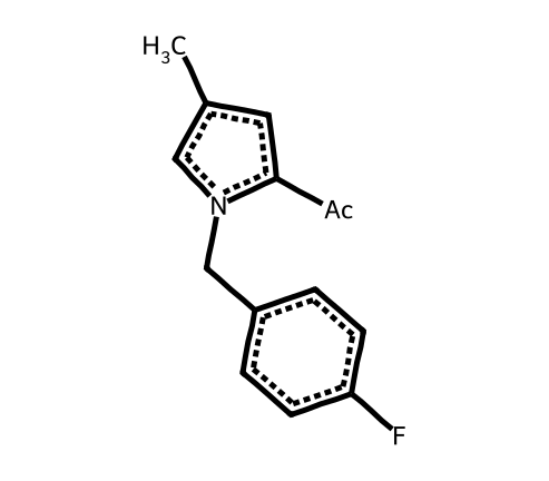 CC(=O)c1cc(C)cn1Cc1ccc(F)cc1